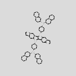 c1ccc2cc(N(c3ccc(-n4c5cc6ccsc6cc5c5c4c4cc6sccc6cc4n5-c4ccc(N(c5ccc6ccccc6c5)c5ccc6ccccc6c5)cc4)cc3)c3ccc4ccccc4c3)ccc2c1